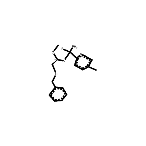 CO[C@H](COCc1ccccc1)SC(F)(P)c1ccc(C)cn1